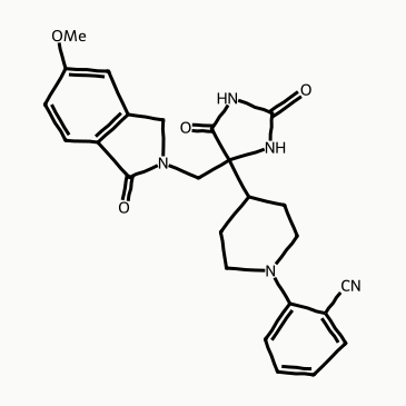 COc1ccc2c(c1)CN(CC1(C3CCN(c4ccccc4C#N)CC3)NC(=O)NC1=O)C2=O